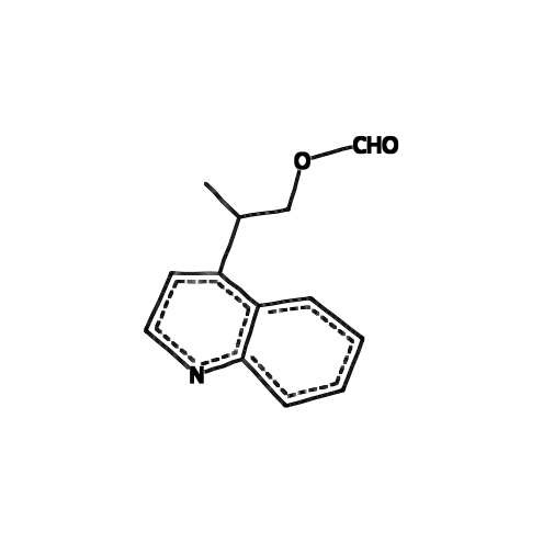 CC(COC=O)c1ccnc2ccccc12